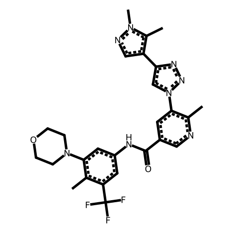 Cc1ncc(C(=O)Nc2cc(N3CCOCC3)c(C)c(C(F)(F)F)c2)cc1-n1cc(-c2cnn(C)c2C)nn1